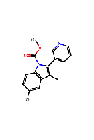 Cc1c(-c2cccnc2)n(C(=O)OC(C)(C)C)c2ccc(C#N)cc12